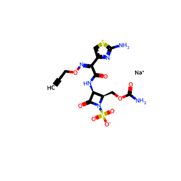 C#CCO/N=C(\C(=O)N[C@@H]1C(=O)N(S(=O)(=O)[O-])[C@@H]1COC(N)=O)c1csc(N)n1.[Na+]